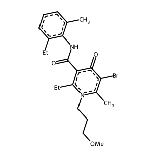 CCc1cccc(C)c1NC(=O)c1c(CC)n(CCCOC)c(C)c(Br)c1=O